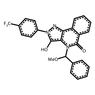 COC(c1ccccc1)n1c(=O)c2ccccc2c2nn(-c3ccc(C(F)(F)F)cc3)c(O)c21